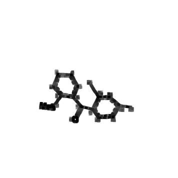 CSc1ccccc1C(=O)c1ccc(C)cc1C